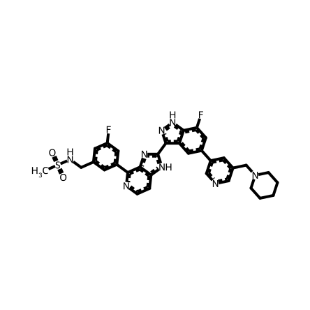 CS(=O)(=O)NCc1cc(F)cc(-c2nccc3[nH]c(-c4n[nH]c5c(F)cc(-c6cncc(CN7CCCCC7)c6)cc45)nc23)c1